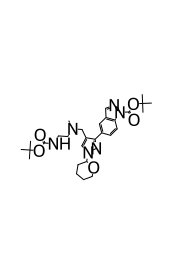 CN(CCNC(=O)OC(C)(C)C)Cc1cn(C2CCCCO2)nc1-c1ccc2c(cnn2C(=O)OC(C)(C)C)c1